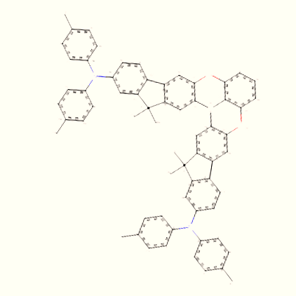 Cc1ccc(N(c2ccc(C)cc2)c2ccc3c(c2)C(C)(C)c2cc4c(cc2-3)Oc2cccc3c2B4c2cc4c(cc2O3)-c2ccc(N(c3ccc(C)cc3)c3ccc(C)cc3)cc2C4(C)C)cc1